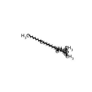 CCCCCCCCCCOCCCCCCCCCCNC(=O)NCCCP(=O)(OCC)OCC